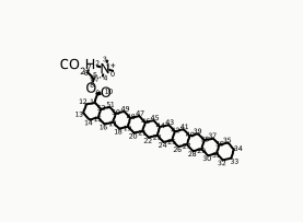 C[N+](C)(C)C[C@@H](CC(=O)O)OC(=O)C1CCCC2CC3CC4CC5CC6CC7CC8CC9CC%10CCCCC%10CC9CC8CC7CC6CC5CC4CC3CC21